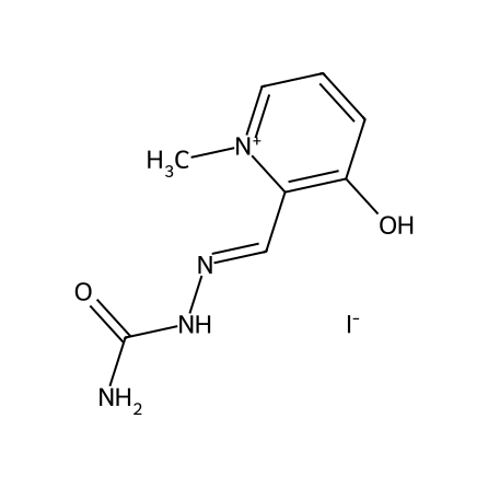 C[n+]1cccc(O)c1C=NNC(N)=O.[I-]